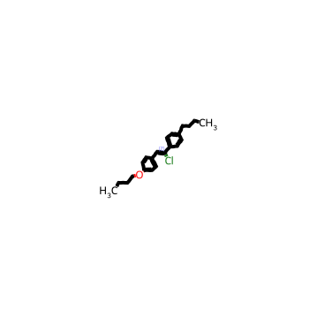 CCCCOc1ccc(/C=C(\Cl)c2ccc(CCCC)cc2)cc1